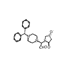 O=CC(N1CCN(C(c2ccccc2)c2ccccc2)CC1)N1C[S+]([O-])CC1=O